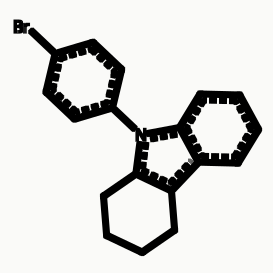 Brc1ccc(-n2c3c(c4ccccc42)CCCC3)cc1